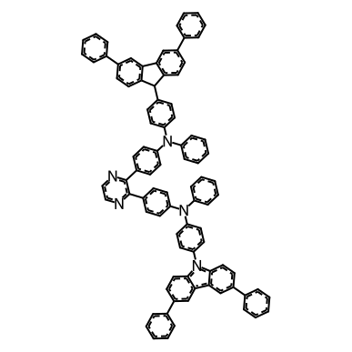 c1ccc(-c2ccc3c(c2)-c2cc(-c4ccccc4)ccc2C3c2ccc(N(c3ccccc3)c3ccc(-c4nccnc4-c4ccc(N(c5ccccc5)c5ccc(-n6c7ccc(-c8ccccc8)cc7c7cc(-c8ccccc8)ccc76)cc5)cc4)cc3)cc2)cc1